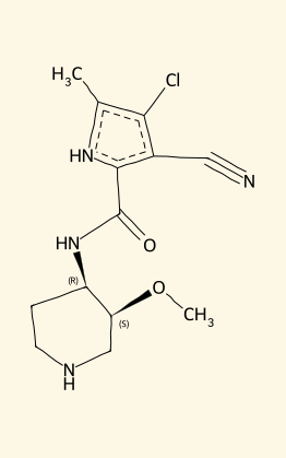 CO[C@H]1CNCC[C@H]1NC(=O)c1[nH]c(C)c(Cl)c1C#N